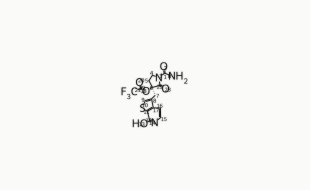 NC(=O)N1CC[C@](Cc2csc3c(O)nccc23)(OC(=O)C(F)(F)F)C1=O